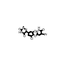 CC(C)c1cc(Oc2c(Cl)cc(-c3nn(C)c(=O)[nH]c3=O)cc2Cl)n[nH]c1=O